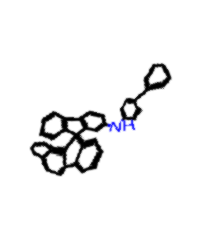 C1=CC2=C(CC1)C1(c3cc(Nc4ccc(-c5ccccc5)cc4)ccc32)c2ccccc2-c2ccc3c(c21)C=CCC3